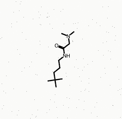 CN(C)CC(=O)NCCCC(C)(C)C